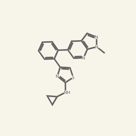 Cn1ncc2cc(-c3ccccc3-c3csc(NC4CC4)n3)cnc21